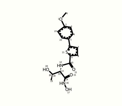 COc1ccc(-c2ccc(C(=O)N[C@H](C(=O)NO)[C@@H](C)O)s2)cc1